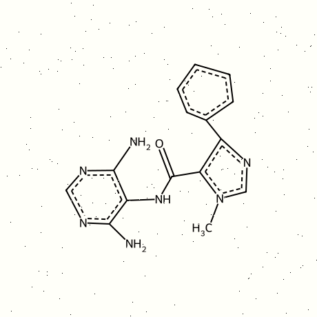 Cn1cnc(-c2ccccc2)c1C(=O)Nc1c(N)ncnc1N